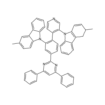 Cc1ccc2c(c1)c1ccccc1n2-c1cc(-c2nc(-c3ccccc3)cc(-c3ccccc3)n2)ccc1-c1ccncc1-n1c2c(c3ccccc31)CC(C)C=C2